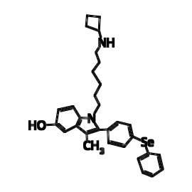 Cc1c(-c2ccc([Se]c3ccccc3)cc2)n(CCCCCCNC2CCC2)c2ccc(O)cc12